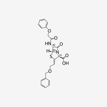 O=C(COc1ccccc1)N[C@@H]1C(=O)N2[C@@H](C(=O)O)C(=CCOCc3ccccc3)S[C@H]12